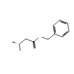 CCCCCCC[C@@H](CC(=O)OCc1ccccc1)OC(C)=O